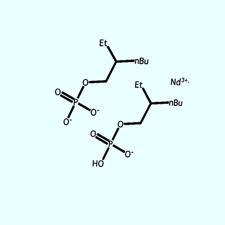 CCCCC(CC)COP(=O)([O-])O.CCCCC(CC)COP(=O)([O-])[O-].[Nd+3]